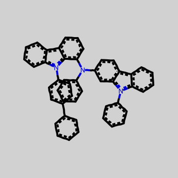 c1ccc(-c2ccc(-n3c4ccccc4c4cccc(N(c5ccccc5)c5ccc6c7ccccc7n(-c7ccccc7)c6c5)c43)cc2)cc1